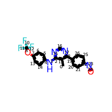 Cc1c(Nc2ccc(OC(F)(F)F)cc2)ncnc1-c1ccc(N=O)cc1